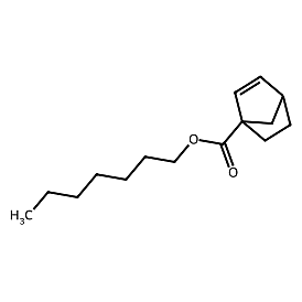 CCCCCCCOC(=O)C12C=CC(CC1)C2